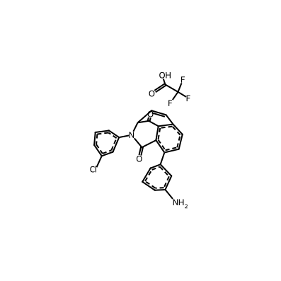 Nc1cccc(-c2ccc3c4c2C(=O)N(c2cccc(Cl)c2)C(C=C3)C4=O)c1.O=C(O)C(F)(F)F